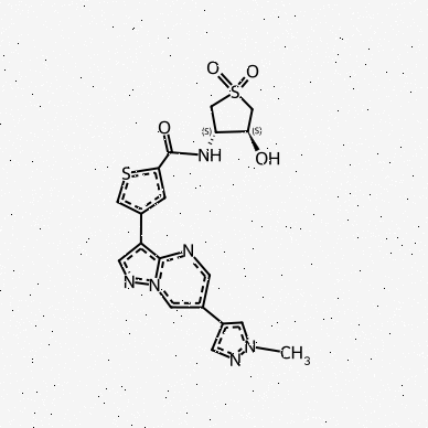 Cn1cc(-c2cnc3c(-c4csc(C(=O)N[C@@H]5CS(=O)(=O)C[C@H]5O)c4)cnn3c2)cn1